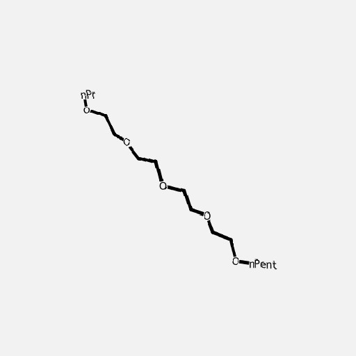 CCCCCOCCOCCOCCOCCOCCC